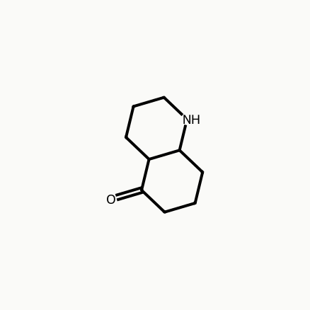 O=C1CCCC2NCCCC12